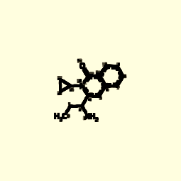 CCC(N)c1cc2ccccc2c(=O)n1C1CC1